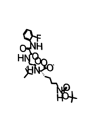 COC(=O)[C@H](CCCCNC(=O)OC(C)(C)C)NC(=O)[C@H](CC(C)C)NC(=O)C(=O)Nc1ccccc1F